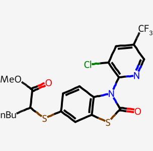 CCCCC(Sc1ccc2c(c1)sc(=O)n2-c1ncc(C(F)(F)F)cc1Cl)C(=O)OC